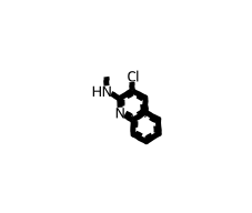 CNc1nc2ccccc2cc1Cl